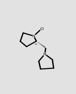 ClN1CCC[C@H]1CN1CCCC1